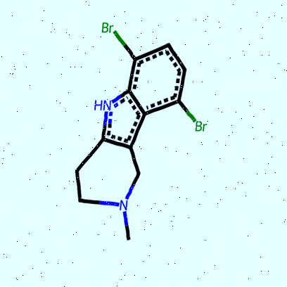 CN1CCc2[nH]c3c(Br)ccc(Br)c3c2C1